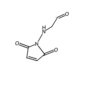 O=[C]CNN1C(=O)C=CC1=O